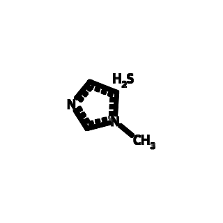 Cn1ccnc1.S